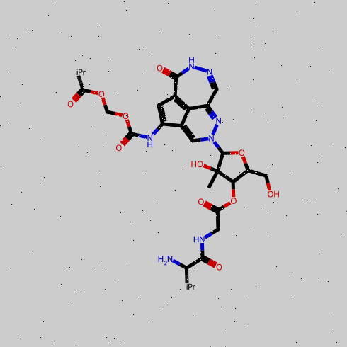 CC(C)C(=O)OCOC(=O)Nc1cc2c(=O)[nH]ncc3nn(C4OC(CO)C(OC(=O)CNC(=O)C(N)C(C)C)C4(C)O)cc1c32